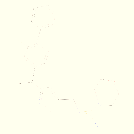 CC(c1ccc(-c2ccccc2)c(F)c1)c1cc(CN=S(N)N2CCOCC2)on1